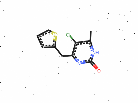 Cc1[nH]c(=O)nc(Cc2cccs2)c1Cl